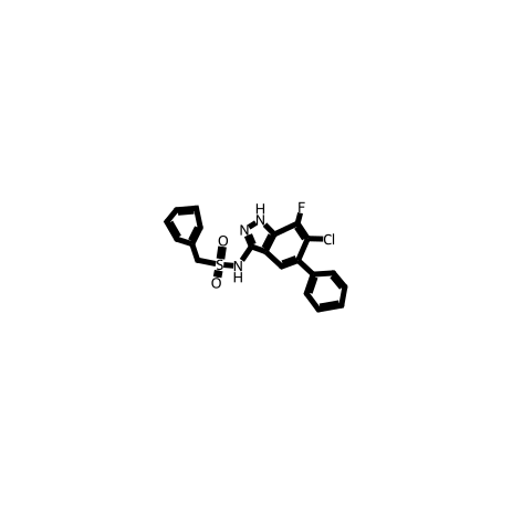 O=S(=O)(Cc1ccccc1)Nc1n[nH]c2c(F)c(Cl)c(-c3ccccc3)cc12